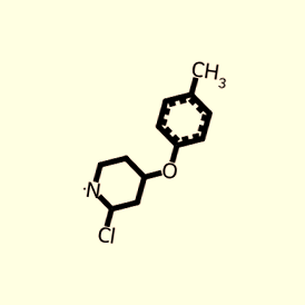 Cc1ccc(OC2CC[N]C(Cl)C2)cc1